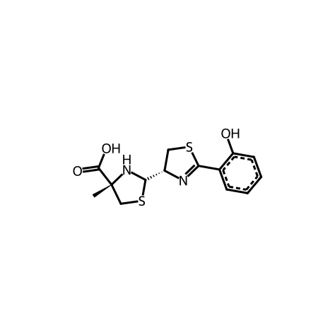 C[C@]1(C(=O)O)CSC([C@@H]2CSC(c3ccccc3O)=N2)N1